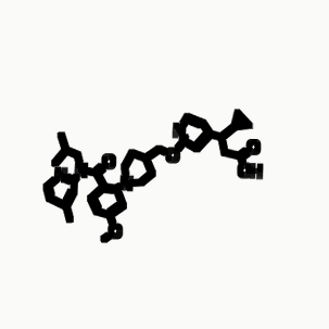 COc1ccc(C(=O)N(CC(C)C)c2cc(C)ccn2)c(N2CCC(COc3cc(C(CC(=O)O)C4CC4)ccn3)CC2)c1